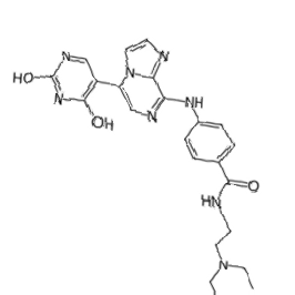 CCN(CC)CCNC(=O)c1ccc(Nc2ncc(-c3cnc(O)nc3O)n3ccnc23)cc1